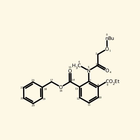 CCCCOCC(=O)N(C)c1c(C(=O)OCC)cccc1C(=O)OCc1ccccc1